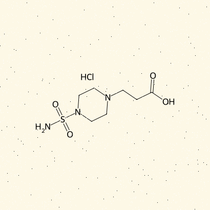 Cl.NS(=O)(=O)N1CCN(CCC(=O)O)CC1